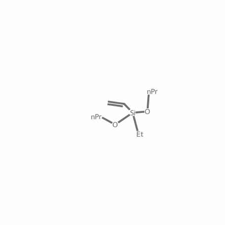 C=C[Si](CC)(OCCC)OCCC